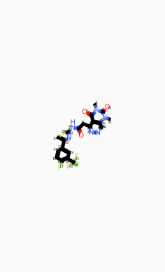 Cn1c(=O)c2c(CC(=O)Nc3nc(-c4ccc(F)c(C(F)(F)F)c4)cs3)nncc2n(C)c1=O